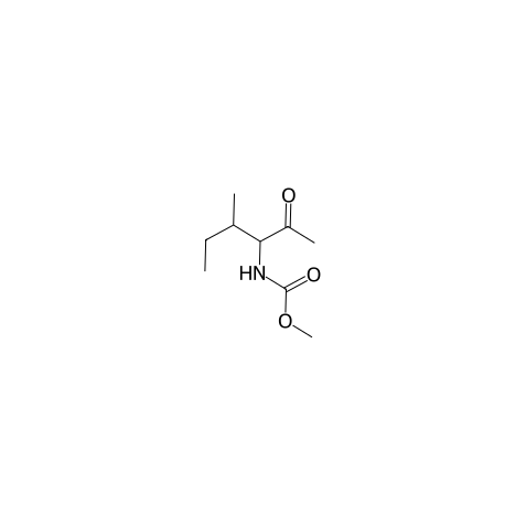 CCC(C)C(NC(=O)OC)C(C)=O